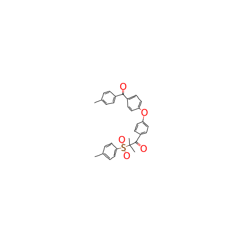 Cc1ccc(C(=O)c2ccc(Oc3ccc(C(=O)C(C)(C)S(=O)(=O)c4ccc(C)cc4)cc3)cc2)cc1